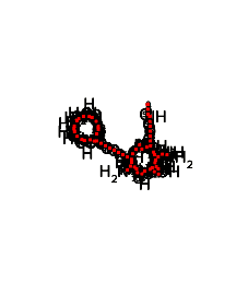 CCCCC(=O)NCCOCCOCCOCC(=O)N[C@H]1Cc2cn(nn2)CCCC[C@@H](C(=O)NCCOCCOCCOCCOCC(=O)N[C@H]2Cc3cn(nn3)CCCC[C@@H](C(N)=O)NC(=O)CNC(=O)CNC(=O)[C@H](C)NC(=O)CNC(=O)CNC2=O)NC(=O)[C@H](CCCCN)NC2=NC(=O)C[C@@H]2NC(=O)[C@H](Cc2ccc(O)cc2)NC(=O)[C@H](CO)NC(=O)[C@H](CCCNC(=N)N)NC1=O